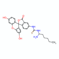 CCCCCC(N)NC(=S)Nc1ccc2c(c1)C(=O)OC21c2ccc(O)cc2Oc2cc(O)ccc21